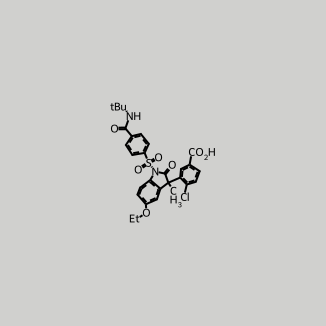 CCOc1ccc2c(c1)C(C)(c1cc(C(=O)O)ccc1Cl)C(=O)N2S(=O)(=O)c1ccc(C(=O)NC(C)(C)C)cc1